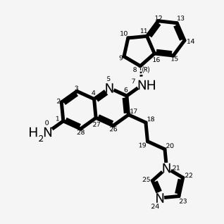 Nc1ccc2nc(N[C@@H]3CCc4ccccc43)c(CCCn3ccnc3)cc2c1